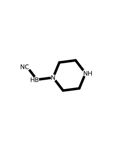 N#CBN1CCNCC1